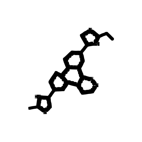 CCc1ncc(-c2ccc3c4ccc(-c5cnc(C)[nH]5)cc4c4ccnnc4c3c2)[nH]1